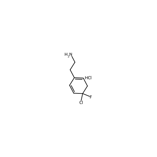 Cl.NCCC1=CCC(F)(Cl)C=C1